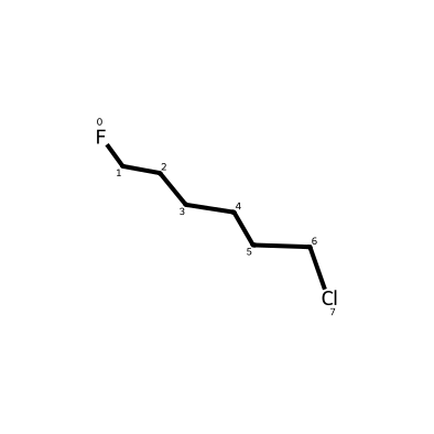 FCCCCCCCl